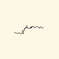 CCCCCC(C)=CCC=C(C)CC#CCCCCCCCl